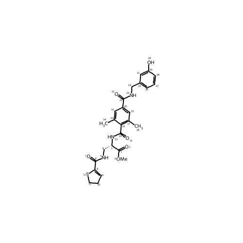 COC(=O)[C@H](CNC(=O)C1=CCCS1)NC(=O)c1c(C)cc(C(=O)NCc2cccc(O)c2)cc1C